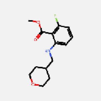 COC(=O)c1c(F)cccc1NCC1CCOCC1